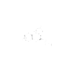 CC(C)(C)OC(=O)N1CCC[C@@H]1C1CCNCC1